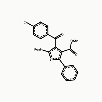 CCCCCc1oc(-c2ccccc2)c(C(=O)OC)c1C(=O)c1ccc(Cl)cc1